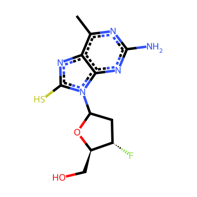 Cc1nc(N)nc2c1nc(S)n2C1C[C@H](F)[C@@H](CO)O1